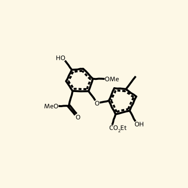 CCOC(=O)c1c(O)cc(C)cc1Oc1c(OC)cc(O)cc1C(=O)OC